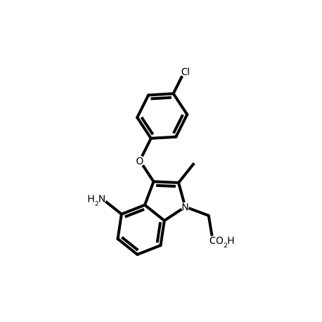 Cc1c(Oc2ccc(Cl)cc2)c2c(N)cccc2n1CC(=O)O